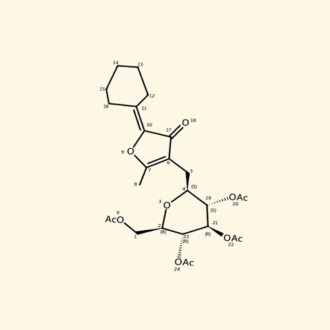 CC(=O)OC[C@H]1O[C@@H](CC2=C(C)OC(=C3CCCCC3)C2=O)[C@H](OC(C)=O)[C@@H](OC(C)=O)[C@@H]1OC(C)=O